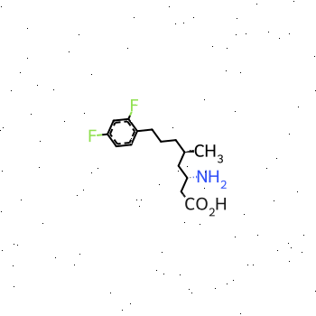 C[C@H](CCCc1ccc(F)cc1F)C[C@H](N)CC(=O)O